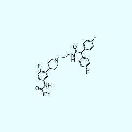 CC(C)C(=O)Nc1ccc(F)c(C2CCN(CCCNC(=O)C(c3ccc(F)cc3)c3ccc(F)cc3)CC2)c1